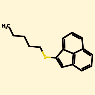 CCCCCSC1=Cc2cccc3cccc1c23